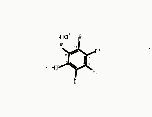 Cl.Fc1c(F)c(F)c(P)c(F)c1F